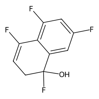 OC1(F)CC=C(F)c2c(F)cc(F)cc21